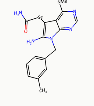 CNc1ncnc2c1c([Se]C(N)=O)c(N)n2Cc1cccc(C)c1